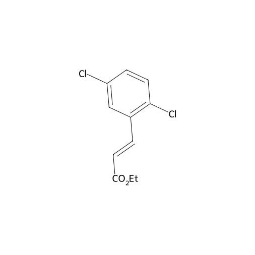 CCOC(=O)C=Cc1cc(Cl)ccc1Cl